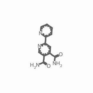 NC(=O)c1cnc(-c2ccccn2)cc1C(N)=O